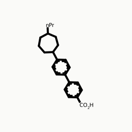 CCCC1CCCC(c2ccc(-c3ccc(C(=O)O)cc3)cc2)CC1